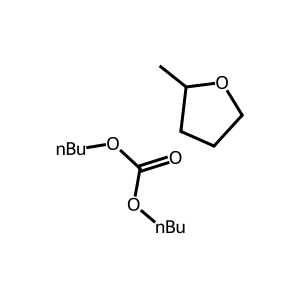 CC1CCCO1.CCCCOC(=O)OCCCC